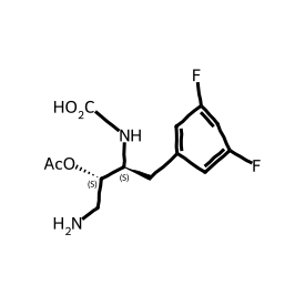 CC(=O)O[C@@H](CN)[C@H](Cc1cc(F)cc(F)c1)NC(=O)O